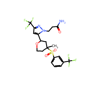 CC1(S(=O)(=O)c2cccc(C(F)(F)F)c2)CCOC(c2cc(C(F)(F)F)nn2CCC(N)=O)C1